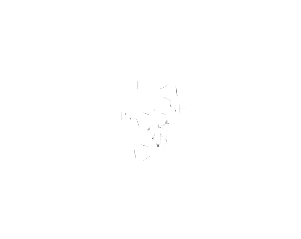 Cc1cc(C)c(S(=O)(=O)N2CCC[C@H](C(=O)Nc3ccc(C)c(C(F)(F)F)c3)[C@@H]2c2ccc(NC3CCCC3)cc2)c(C)c1